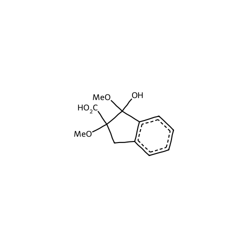 COC1(C(=O)O)Cc2ccccc2C1(O)OC